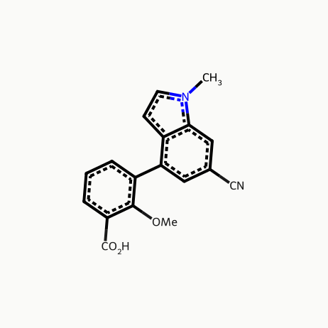 COc1c(C(=O)O)cccc1-c1cc(C#N)cc2c1ccn2C